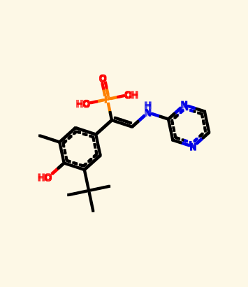 Cc1cc(C(=CNc2cnccn2)P(=O)(O)O)cc(C(C)(C)C)c1O